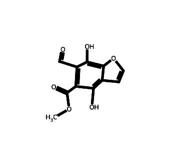 COC(=O)c1c(C=O)c(O)c2occc2c1O